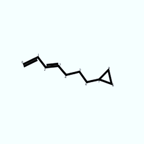 C=CC=CCCCC1[CH]C1